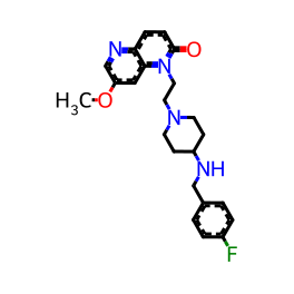 COc1cnc2ccc(=O)n(CCN3CCC(NCc4ccc(F)cc4)CC3)c2c1